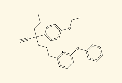 C#CC(CCC)(CCCc1cccc(Oc2ccccc2)n1)c1ccc(OCC)cc1